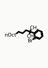 CCCCCCCCCCCC(C)(C)c1ccccc1Br